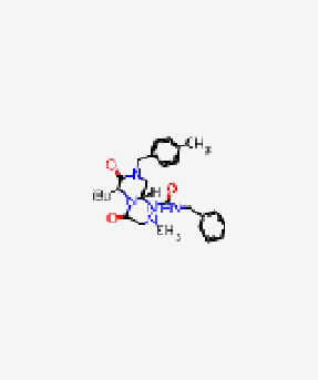 CCC(C)[C@H]1C(=O)N(Cc2ccc(C)cc2)C[C@H]2N1C(=O)CN(C)N2C(=O)NCc1ccccc1